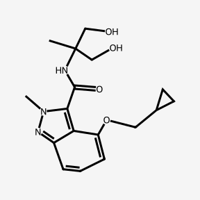 Cn1nc2cccc(OCC3CC3)c2c1C(=O)NC(C)(CO)CO